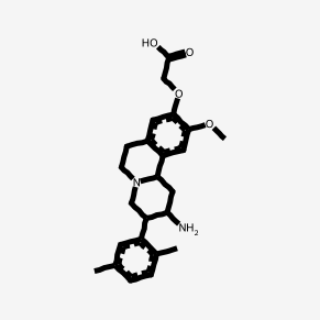 COc1cc2c(cc1OCC(=O)O)CCN1CC(c3cc(C)ccc3C)C(N)CC21